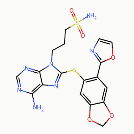 Nc1ncnc2c1nc(Sc1cc3c(cc1-c1ncco1)OCO3)n2CCCS(N)(=O)=O